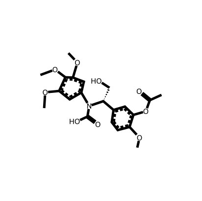 COc1ccc([C@@H](CO)N(C(=O)O)c2cc(OC)c(OC)c(OC)c2)cc1OC(C)=O